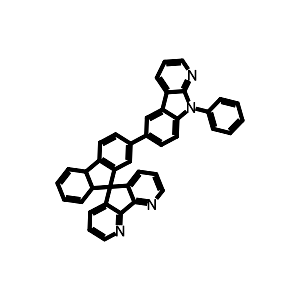 C1=CC2c3ccc(-c4ccc5c(c4)c4cccnc4n5-c4ccccc4)cc3C3(c4cccnc4-c4ncccc43)C2C=C1